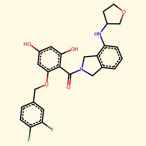 O=C(c1c(O)cc(O)cc1OCc1ccc(F)c(F)c1)N1Cc2cccc(NC3CCOC3)c2C1